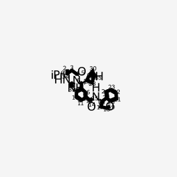 CC(C)[C@]1(C)CC(=O)N(C(c2cccc(C(=O)N[C@H]3CCOc4ccccc43)c2)[C@@H]2C[C@H]3CC32)C(=N)N1